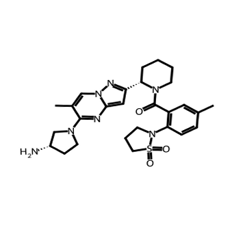 Cc1ccc(N2CCCS2(=O)=O)c(C(=O)N2CCCC[C@H]2c2cc3nc(N4CC[C@H](N)C4)c(C)cn3n2)c1